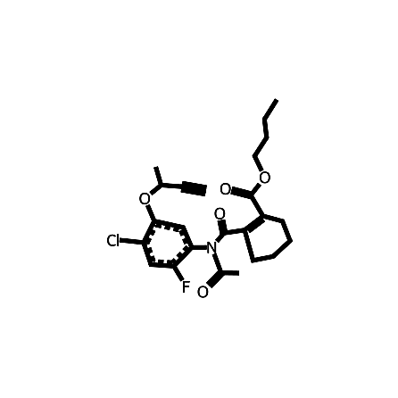 C#CC(C)Oc1cc(N(C(C)=O)C(=O)C2=C(C(=O)OCCCC)CCCC2)c(F)cc1Cl